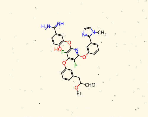 CCOC(C=O)Cc1cccc(Oc2c(F)c(Oc3cccc(-c4nccn4C)c3)nc(Oc3cc(C(=N)N)ccc3O)c2F)c1